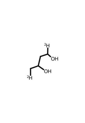 [2H]CC(O)CC([2H])O